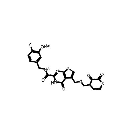 COc1cc(CNC(=O)c2nc3scc(COCC4CCSC(=O)C4=O)c3c(=O)[nH]2)ccc1F